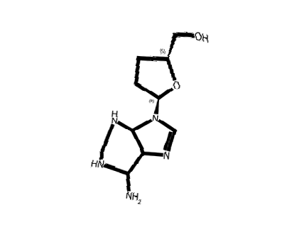 NC1NCNC2C1N=CN2[C@H]1CC[C@@H](CO)O1